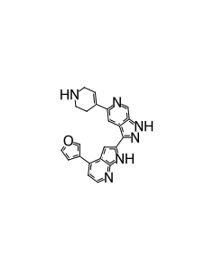 C1=C(c2cc3c(-c4cc5c(-c6ccoc6)ccnc5[nH]4)n[nH]c3cn2)CCNC1